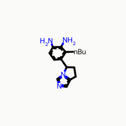 CCCCc1c(C2CCc3cncn32)ccc(N)c1N